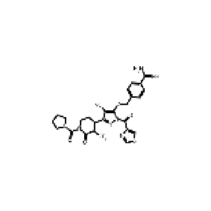 N#Cc1c(C2CCN(C(=O)N3CCCC3)C(=O)C2C(F)(F)F)nn(C(=O)c2cscn2)c1OCc1ccc(C(=N)N)cc1